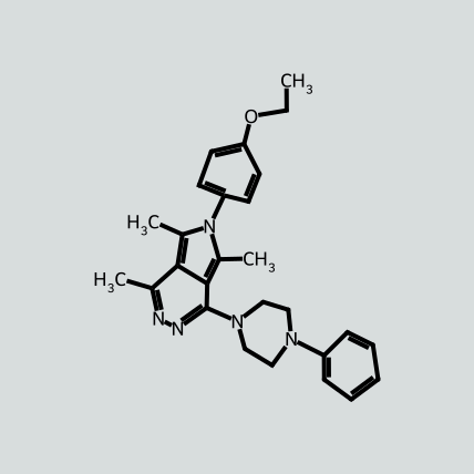 CCOc1ccc(-n2c(C)c3c(C)nnc(N4CCN(c5ccccc5)CC4)c3c2C)cc1